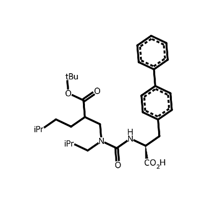 CC(C)CCC(CN(CC(C)C)C(=O)N[C@@H](Cc1ccc(-c2ccccc2)cc1)C(=O)O)C(=O)OC(C)(C)C